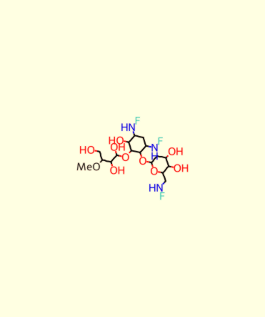 COC(CO)C(O)C(O)OC1C(O)C(NF)CC(NF)C1OC1CC(O)C(O)C(CNF)O1